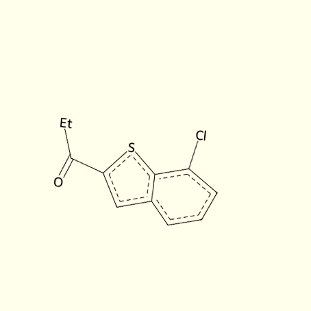 CCC(=O)c1cc2cccc(Cl)c2s1